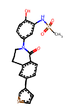 CS(=O)(=O)Nc1cc(N2CCc3cc(-c4ccsc4)ccc3C2=O)ccc1O